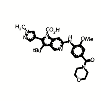 COc1cc(C(=O)N2CCOCC2)ccc1Nc1cc2c(cn1)c(C(C)(C)C)c(-c1cnn(C)c1)n2C(=O)O